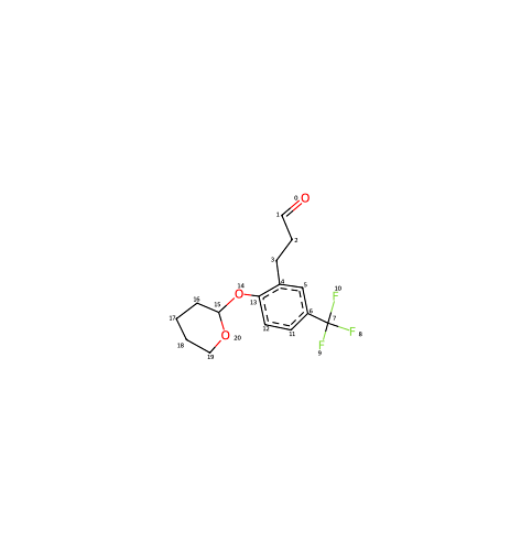 O=CCCc1cc(C(F)(F)F)ccc1OC1CCCCO1